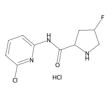 Cl.O=C(Nc1cccc(Cl)n1)C1CC(F)CN1